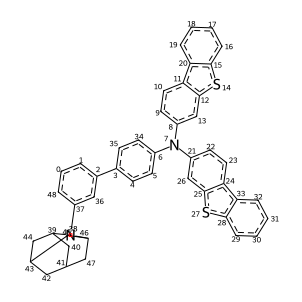 c1cc(-c2ccc(N(c3ccc4c(c3)sc3ccccc34)c3ccc4c(c3)sc3ccccc34)cc2)cc(N2C3CC4CC(C3)CC2C4)c1